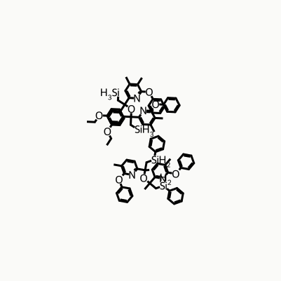 CCOc1ccc(C(C[SiH3])(OC(C[SiH3])(c2ccc(OCC)cc2)c2cc(C)c(C)c(Oc3ccccc3)n2)c2cc(C)c(C)c(Oc3ccccc3)n2)cc1.Cc1ccc(C(C)(C[SiH2]c2ccccc2)OC(C)(C[SiH2]c2ccccc2)c2ccc(C)c(Oc3ccccc3)n2)nc1Oc1ccccc1